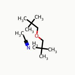 CC#N.CC(C)(C)COCC(C)(C)C